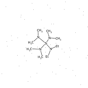 CCN(CC)[Si](N(C)C)(N(C)C)N(C)C